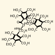 CCCCCCOC(=O)c1c(C(=O)O)c(C(=O)O)c(C(=O)O)c(C(=O)O)c1C(=O)OCC.CCOC(=O)c1c(C(=O)O)c(C(=O)O)c(C(=O)O)c(C(=O)O)c1C(=O)O.CCOC(=O)c1c(C(=O)O)c(C(=O)O)c(C(=O)O)c(C(=O)O)c1C(=O)O